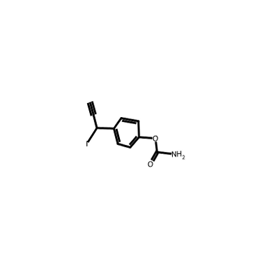 C#CC(I)c1ccc(OC(N)=O)cc1